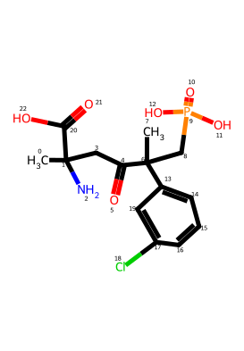 CC(N)(CC(=O)C(C)(CP(=O)(O)O)c1cccc(Cl)c1)C(=O)O